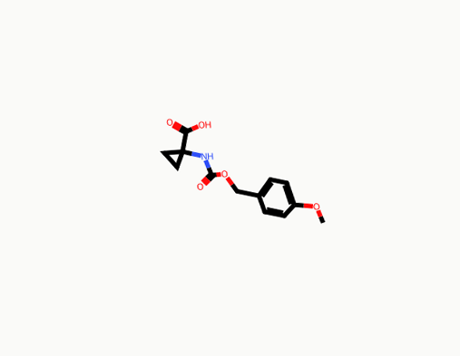 COc1ccc(COC(=O)NC2(C(=O)O)CC2)cc1